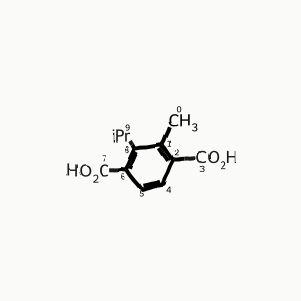 Cc1c(C(=O)O)ccc(C(=O)O)c1C(C)C